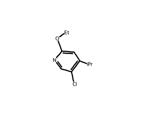 CCOc1cc(C(C)C)c(Cl)cn1